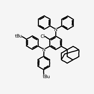 CC(C)(C)c1ccc(N(c2ccc(C(C)(C)C)cc2)c2cc(C34CC5CC(CC(C5)C3)C4)cc(N(c3ccccc3)c3ccccc3)c2Cl)cc1